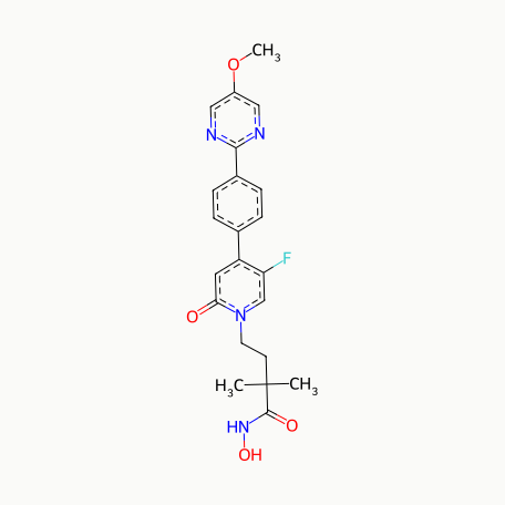 COc1cnc(-c2ccc(-c3cc(=O)n(CCC(C)(C)C(=O)NO)cc3F)cc2)nc1